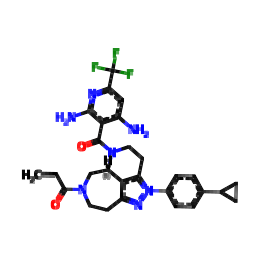 C=CC(=O)N1CCc2nn(-c3ccc(C4CC4)cc3)c3c2[C@H](C1)N(C(=O)c1c(N)cc(C(F)(F)F)nc1N)CC3